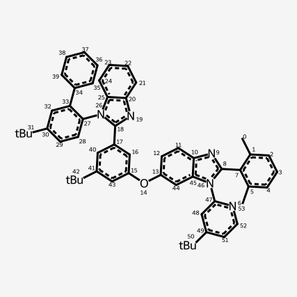 Cc1cccc(C)c1-c1nc2ccc(Oc3cc(-c4nc5ccccc5n4-c4ccc(C(C)(C)C)cc4-c4ccccc4)cc(C(C)(C)C)c3)cc2n1-c1cc(C(C)(C)C)ccn1